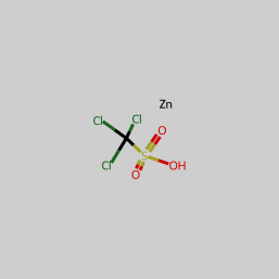 O=S(=O)(O)C(Cl)(Cl)Cl.[Zn]